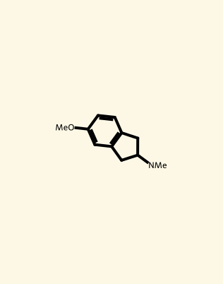 CNC1Cc2ccc(OC)cc2C1